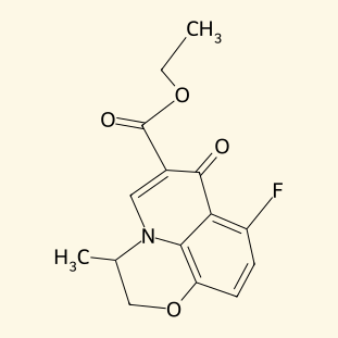 CCOC(=O)c1cn2c3c(ccc(F)c3c1=O)OCC2C